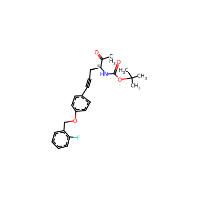 CC(=O)[C@H](CC#Cc1ccc(OCc2ccccc2F)cc1)NC(=O)OC(C)(C)C